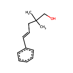 CC(C)(CO)C/C=C/c1ccccc1